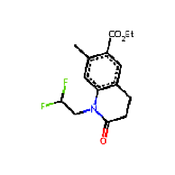 CCOC(=O)c1cc2c(cc1C)N(CC(F)F)C(=O)CC2